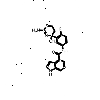 CC1(c2cc(NC(=O)c3cccc4[nH]ccc34)ccc2F)CCSC(N)=N1